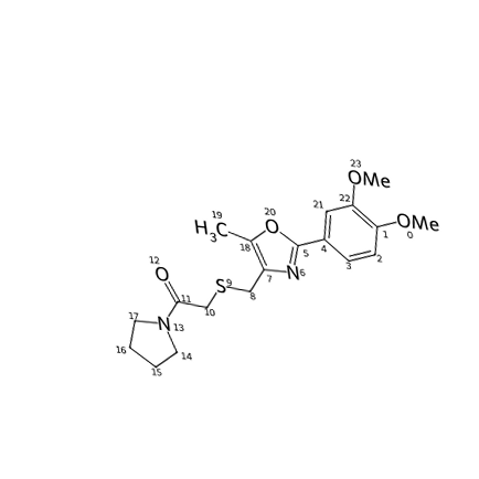 COc1ccc(-c2nc(CSCC(=O)N3CCCC3)c(C)o2)cc1OC